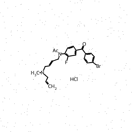 C=CCN(C)C/C=C/CN(C(C)=O)c1ccc(C(=O)c2ccc(Br)cc2)cc1F.Cl